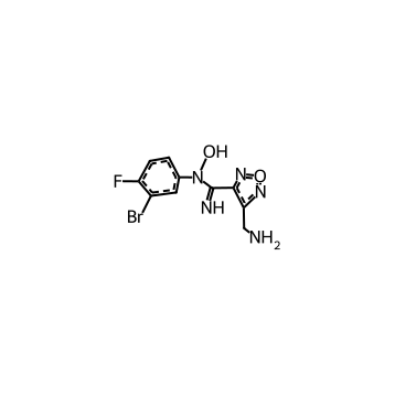 N=C(c1nonc1CN)N(O)c1ccc(F)c(Br)c1